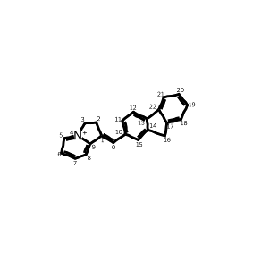 C(=C1/CC[n+]2ccccc21)/c1ccc2c(c1)Cc1ccccc1-2